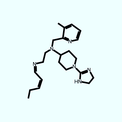 CC/C=C\C=N/CCN(Cc1ncccc1C)C1CCN(C2=NCCN2)CC1